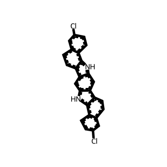 Clc1ccc2c(ccc3c4cc5[nH]c6c7ccc(Cl)cc7ccc6c5cc4[nH]c23)c1